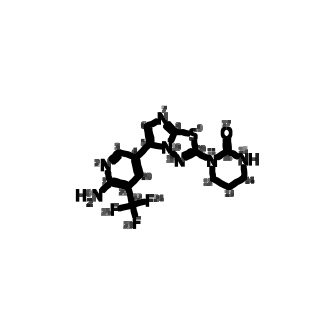 Nc1ncc(-c2cnc3sc(N4CCCNC4=O)nn23)cc1C(F)(F)F